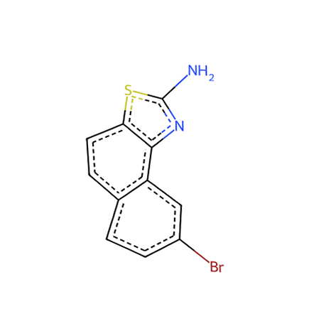 Nc1nc2c(ccc3ccc(Br)cc32)s1